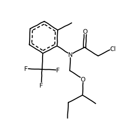 CCC(C)OCN(C(=O)CCl)c1c(C)cccc1C(F)(F)F